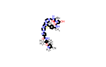 Cc1nc(OC2C(C)(C)C(NC(=O)c3ccc(N4CCN(CCCN5CCN(CC(=O)NC(C(=O)N6C[C@H](O)C[C@H]6C(=O)N[C@@H](C)c6ccc(-c7scnc7C)cc6)C(C)(C)C)CC5)CC4)nc3)C2(C)C)ccc1C#N